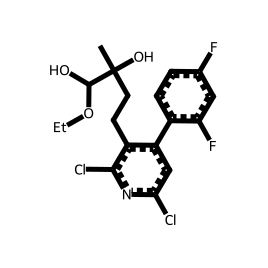 CCOC(O)C(C)(O)CCc1c(-c2ccc(F)cc2F)cc(Cl)nc1Cl